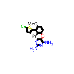 COc1ccc(Oc2cnc(N)nc2N)c(C(C)C)c1-c1ccc(Cl)s1